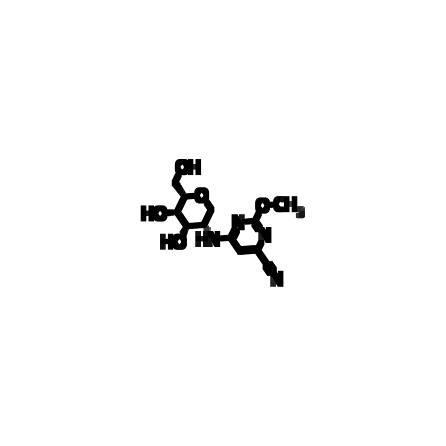 COc1nc(C#N)cc(N[C@H]2CO[C@H](CO)[C@H](O)[C@@H]2O)n1